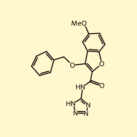 COc1ccc2oc(C(=O)Nc3nnn[nH]3)c(OCc3ccccc3)c2c1